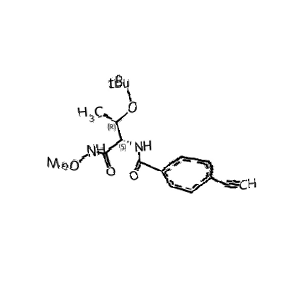 C#Cc1ccc(C(=O)N[C@H](C(=O)NOC)[C@@H](C)OC(C)(C)C)cc1